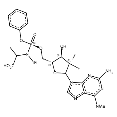 CNc1nc(N)nc2c1ncn2C1O[C@H](CO[P@](=O)(Oc2ccccc2)N(C(C)C)C(C)C(=O)O)[C@@H](O)[C@@]1(C)F